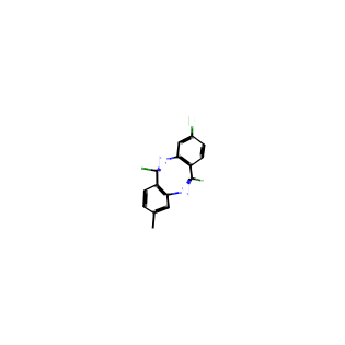 Cc1ccc2c(c1)/N=C(/Cl)c1ccc(Br)cc1/N=C\2Cl